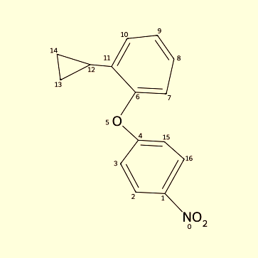 O=[N+]([O-])c1ccc(Oc2ccccc2C2CC2)cc1